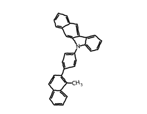 Cc1c(-c2ccc(-n3c4ccccc4c4cc5ccccc5cc43)cc2)ccc2ccccc12